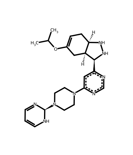 CC(C)OC1=CC[C@H]2NN[C@@H](c3cc(N4CCN([C@@H]5N=CC=CN5)CC4)ncn3)[C@H]2C1